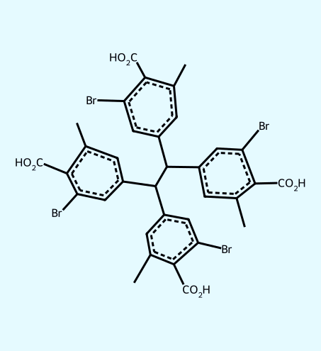 Cc1cc(C(c2cc(C)c(C(=O)O)c(Br)c2)C(c2cc(C)c(C(=O)O)c(Br)c2)c2cc(C)c(C(=O)O)c(Br)c2)cc(Br)c1C(=O)O